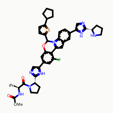 COC(=O)N[C@H](C(=O)N1CCC[C@H]1c1ncc(-c2cc(F)c3c(c2)OC(c2ccc(C4CCCC4)s2)n2c-3cc3cc(-c4cnc([C@@H]5CCCN5)[nH]4)ccc32)[nH]1)C(C)C